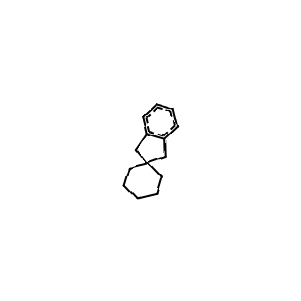 c1ccc2c(c1)CC1(CCCCC1)C2